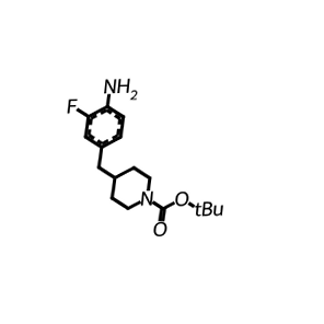 CC(C)(C)OC(=O)N1CCC(Cc2ccc(N)c(F)c2)CC1